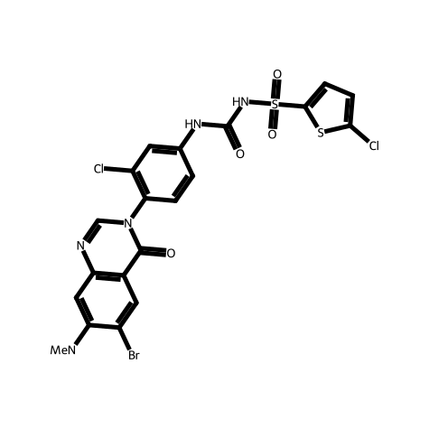 CNc1cc2ncn(-c3ccc(NC(=O)NS(=O)(=O)c4ccc(Cl)s4)cc3Cl)c(=O)c2cc1Br